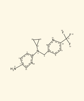 Nc1ccc(N(Cc2ccc(C(F)(F)F)nc2)C2CC2)nc1